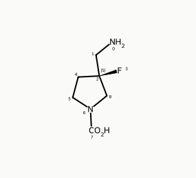 NC[C@@]1(F)CCN(C(=O)O)C1